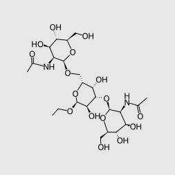 CCO[C@H]1O[C@H](CO[C@@H]2O[C@H](CO)[C@@H](O)[C@H](O)[C@@H]2NC(C)=O)[C@H](O)[C@H](O[C@@H]2O[C@H](CO)[C@@H](O)[C@H](O)[C@@H]2NC(C)=O)[C@H]1O